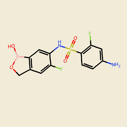 Nc1ccc(S(=O)(=O)Nc2cc3c(cc2F)COB3O)c(F)c1